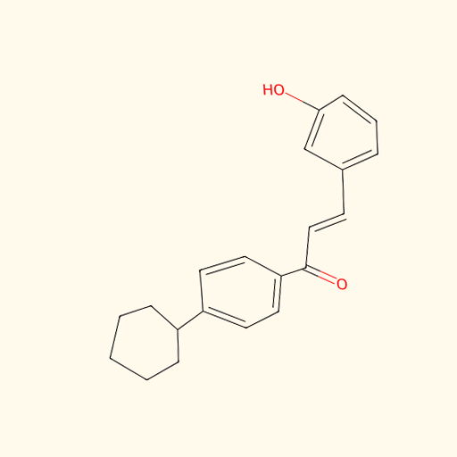 O=C(/C=C/c1cccc(O)c1)c1ccc(C2CCCCC2)cc1